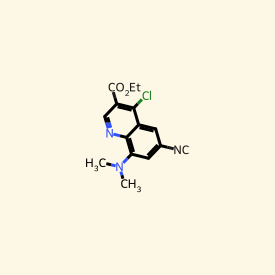 [C-]#[N+]c1cc(N(C)C)c2ncc(C(=O)OCC)c(Cl)c2c1